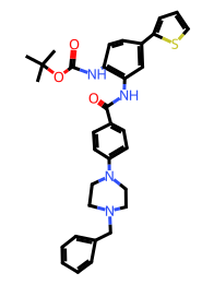 CC(C)(C)OC(=O)Nc1ccc(-c2cccs2)cc1NC(=O)c1ccc(N2CCN(Cc3ccccc3)CC2)cc1